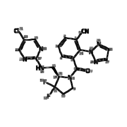 N#Cc1cccc(C(=O)N2CCC(F)(F)[C@H]2CNc2ncc(Cl)cn2)c1-n1nccn1